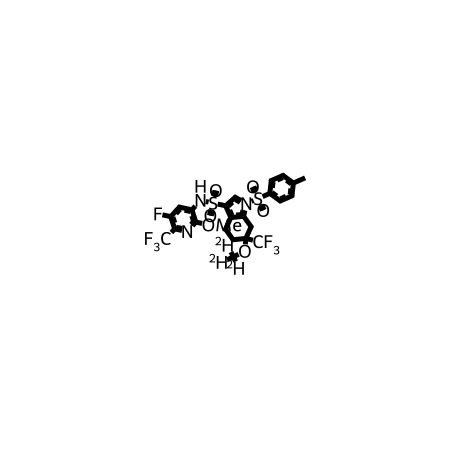 [2H]C([2H])([2H])OC1(C(F)(F)F)CCc2c(S(=O)(=O)Nc3cc(F)c(C(F)(F)F)nc3OC)cn(S(=O)(=O)c3ccc(C)cc3)c2C1